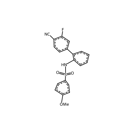 COc1ccc(S(=O)(=O)Nc2ccccc2-c2ccc(C#N)c(F)c2)cc1